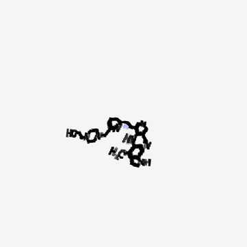 Cc1c(Nc2c(C#N)cncc2/C=C/c2cccc(CN3CCN(CCO)CC3)n2)ccc2[nH]ccc12